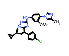 COc1cc(Nc2nc3c(-c4ccc(Cl)cc4)cc(C4CC4)cn3n2)ccc1-n1cnc(C)c1